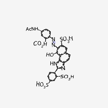 CC(=O)Nc1ccc(/N=N/c2c(S(=O)(=O)O)cc3ccc4nc(-c5ccc(S(=O)(=O)O)cc5S(=O)(=O)O)[nH]c4c3c2O)c(C(=O)O)c1